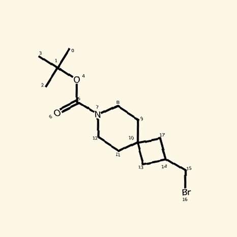 CC(C)(C)OC(=O)N1CCC2(CC1)CC(CBr)C2